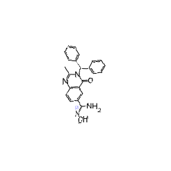 Cc1nc2ccc(/C(N)=N/O)cc2c(=O)n1C(c1ccccc1)c1ccccc1